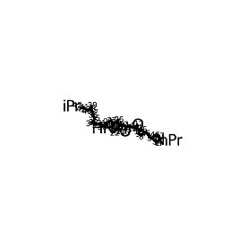 CCCN1CCC(CCC2CCC(C(=O)CCC(=O)Cc3c(C)c(C)c4c(c3C)CCC(CCCC(C)CCCC(C)CCCC(C)C)N4)C2)CC1